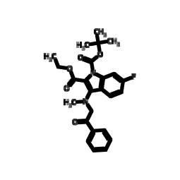 CCOC(=O)c1c(N(C)CC(=O)c2ccccc2)c2ccc(F)cc2n1C(=O)OC(C)(C)C